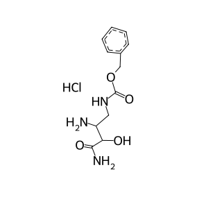 Cl.NC(=O)C(O)C(N)CNC(=O)OCc1ccccc1